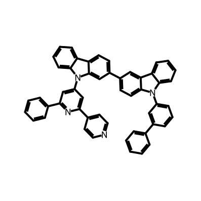 c1ccc(-c2cccc(-n3c4ccccc4c4cc(-c5ccc6c7ccccc7n(-c7cc(-c8ccccc8)nc(-c8ccncc8)c7)c6c5)ccc43)c2)cc1